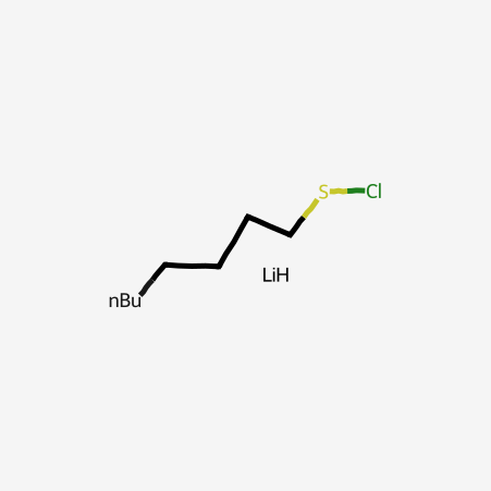 CCCCCCCCSCl.[LiH]